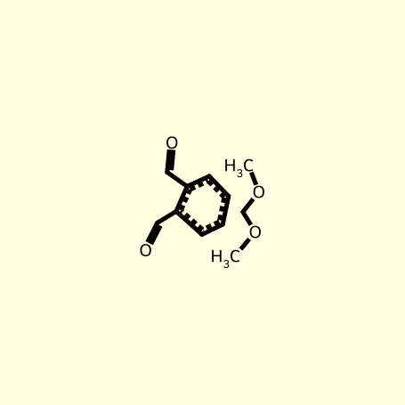 COCOC.O=Cc1ccccc1C=O